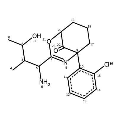 CC(O)C(C)C(N)C1=NC2(c3ccccc3Cl)CCCC(O1)C2=O